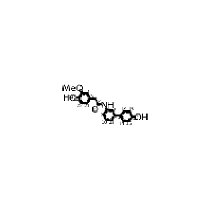 COc1cc(CC(=O)Nc2cccc(-c3ccc(O)cc3)c2)ccc1O